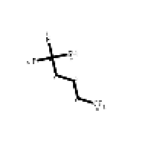 FC(F)(F)CCCC(F)(F)S